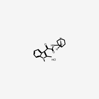 Cc1c(C(=O)C(=O)N[C@@H]2CN3CCC2CC3)c2ccccc2n1C.Cl